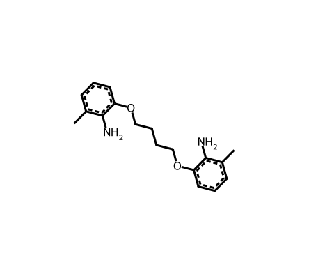 Cc1cccc(OCCCCOc2cccc(C)c2N)c1N